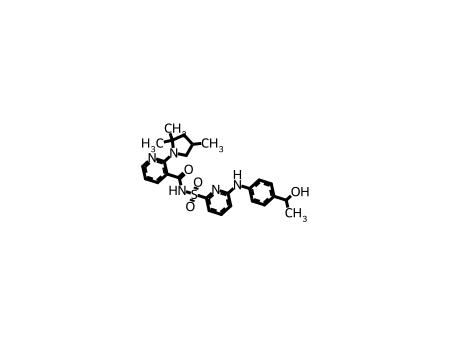 CC1CN(c2ncccc2C(=O)NS(=O)(=O)c2cccc(Nc3ccc(C(C)O)cc3)n2)C(C)(C)C1